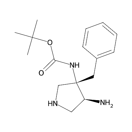 CC(C)(C)OC(=O)N[C@@]1(Cc2ccccc2)CNC[C@@H]1N